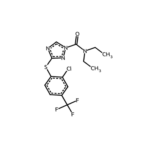 CCN(CC)C(=O)n1cnc(Sc2ccc(C(F)(F)F)cc2Cl)n1